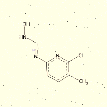 Cc1ccc(/N=C/NO)nc1Cl